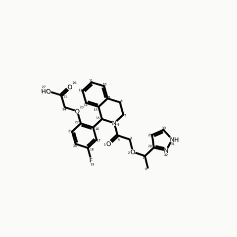 CC(OCC(=O)N1CCc2ccccc2C1c1cc(F)ccc1OCC(=O)O)c1cc[nH]n1